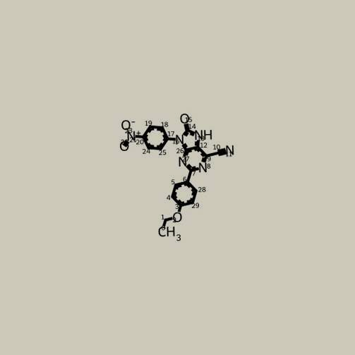 CCOc1ccc(-c2nc(C#N)c3[nH]c(=O)n(-c4ccc([N+](=O)[O-])cc4)c3n2)cc1